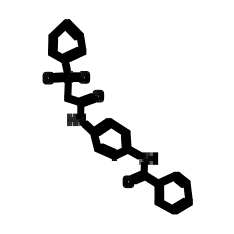 O=C(CS(=O)(=O)c1ccccc1)Nc1c[c]c(NC(=O)c2ccccc2)cc1